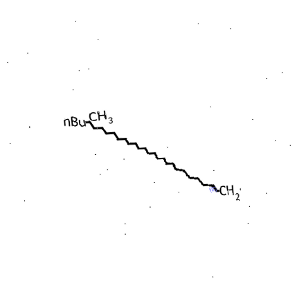 [CH2]/C=C/CCCCCCCCCCCCCCCCCCCCCC(C)CCC[CH2]